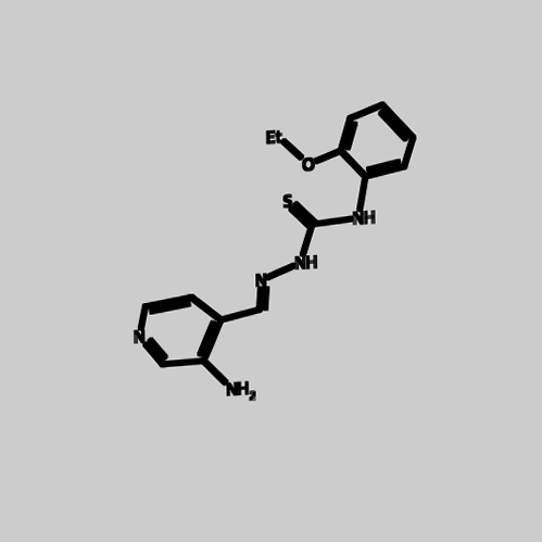 CCOc1ccccc1NC(=S)N/N=C/c1ccncc1N